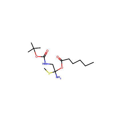 CCCCCC(=O)OC(N)(CNC(=O)OC(C)(C)C)SC